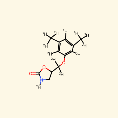 [2H]c1c(OC([2H])([2H])C2CN([2H])C(=O)O2)c([2H])c(C([2H])([2H])[2H])c([2H])c1C([2H])([2H])[2H]